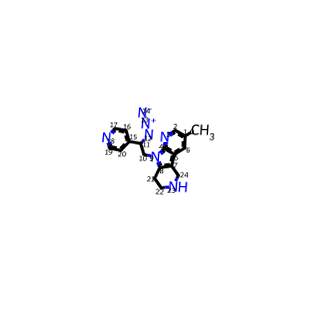 Cc1cnc2c(c1)c1c(n2CC(N=[N+]=[N-])c2ccncc2)CCNC1